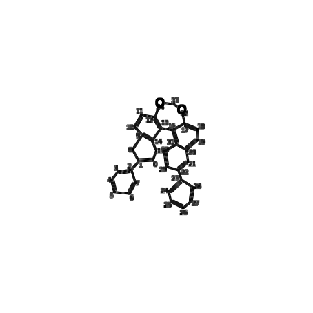 C1=C(c2ccccc2)Cc2ccc3c(c2C1)-c1c(ccc2cc(-c4ccccc4)ccc12)OCO3